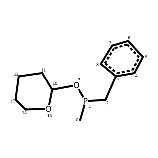 CP(Cc1ccccc1)OC1CCCCO1